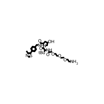 Cc1ncsc1-c1ccc(CNC(=O)C2C[C@@H](O)CN2C(=O)C(NC(=O)COCCOCCOCCN)C(C)(C)C)cc1